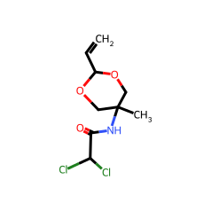 C=CC1OCC(C)(NC(=O)C(Cl)Cl)CO1